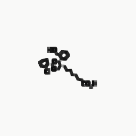 O=C(O)CCCCCCC[C@@H]1CO[C@H](c2ccccc2Cl)O[C@@H]1c1ccccc1CO